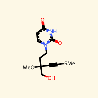 COC(C#CSC)(CO)CCn1ccc(=O)[nH]c1=O